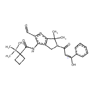 CC1(C)c2nn([C]=O)c(NC(=O)C3([Si](C)(C)C)CCC3)c2CN1C(=O)/C=C(/O)c1ccccc1